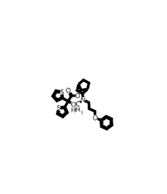 CN(CCCOc1ccccc1)C1CC2CCC1C2OC(=O)C(O)(c1cccs1)c1cccs1